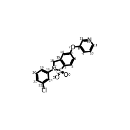 O=S1(=O)c2ccc(Oc3cccnc3)cc2CN1c1cccc(Cl)c1